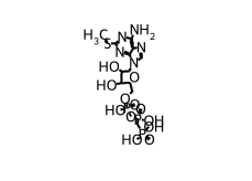 CSc1nc(N)c2ncn(C3OC(COP(=O)(O)OP(=O)(O)CP(=O)(O)O)C(O)C3O)c2n1